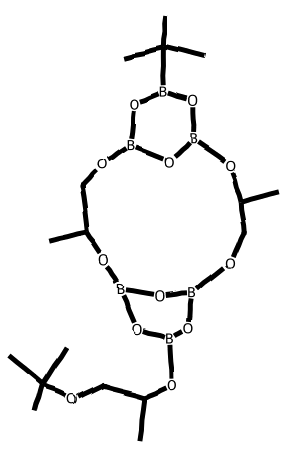 CC1COB2OB(OB(C(C)(C)C)O2)OC(C)COB2OB(OB(OC(C)COC(C)(C)C)O2)O1